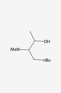 CCCCCC(NC)C(C)O